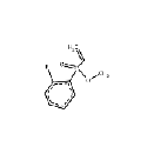 C=CP(=O)(OC)c1ccccc1F